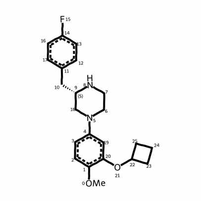 COc1ccc(N2CCN[C@@H](Cc3ccc(F)cc3)C2)cc1OC1CCC1